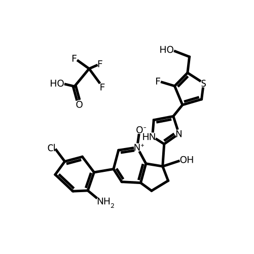 Nc1ccc(Cl)cc1-c1cc2c([n+]([O-])c1)C(O)(c1nc(-c3csc(CO)c3F)c[nH]1)CC2.O=C(O)C(F)(F)F